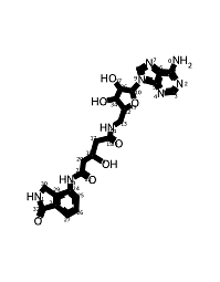 Nc1ncnc2c1ncn2C1OC(CNC(=O)CC(O)CC(=O)Nc2cccc3c2CNC3=O)C(O)C1O